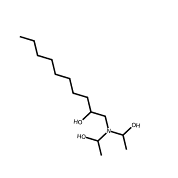 CCCCCCCCC(O)CN(C(C)O)C(C)O